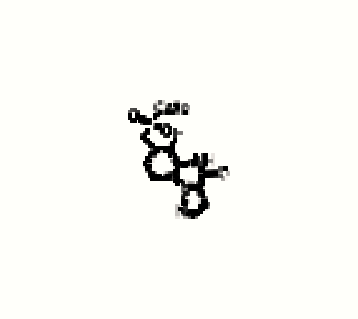 COS(=O)(=O)Cc1ccc2c([nH]c(=O)c3ccnn32)c1F